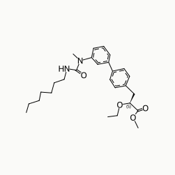 CCCCCCCNC(=O)N(C)c1cccc(-c2ccc(C[C@H](OCC)C(=O)OC)cc2)c1